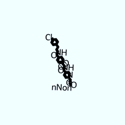 CCCCCCCCCC(=O)OCc1ccc(C(=O)NS(=O)(=O)c2ccc(C(=O)NCCc3ccc(Cl)cc3)cc2)cn1